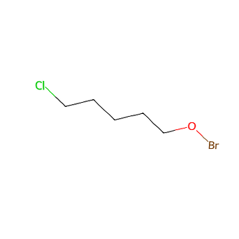 ClCCCCCOBr